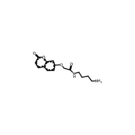 NCCCCNC(=O)COc1ccc2ccc(=O)oc2c1